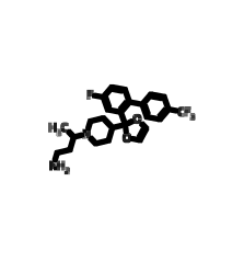 CC(CCN)N1CCC(C2(c3cc(F)ccc3-c3ccc(C(F)(F)F)cc3)OC=CO2)CC1